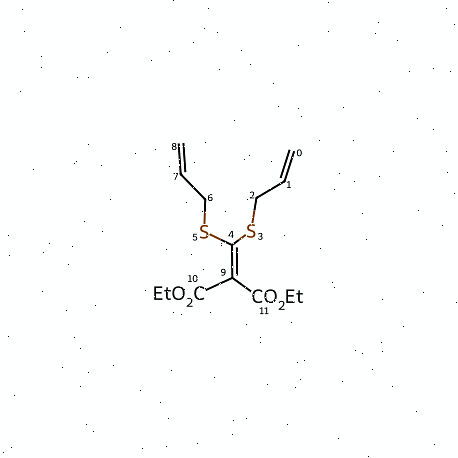 C=CCSC(SCC=C)=C(C(=O)OCC)C(=O)OCC